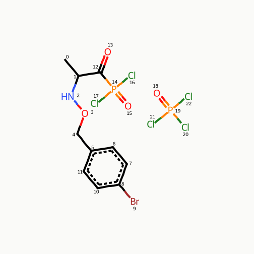 CC(NOCc1ccc(Br)cc1)C(=O)P(=O)(Cl)Cl.O=P(Cl)(Cl)Cl